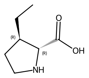 CC[C@@H]1CCN[C@H]1C(=O)O